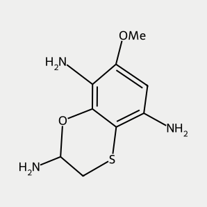 COc1cc(N)c2c(c1N)OC(N)CS2